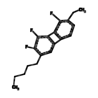 CCCCCc1cc2c(c(F)c1F)-c1c-2ccc(CC)c1F